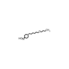 CCCCOCCCCCCN1CCC(=NO)CC1